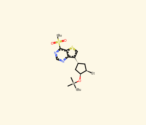 CC[C@@H]1C[C@@H](c2csc3c(S(=O)(=O)C(C)(C)C)ncnc23)C[C@@H]1O[Si](C)(C)C(C)(C)C